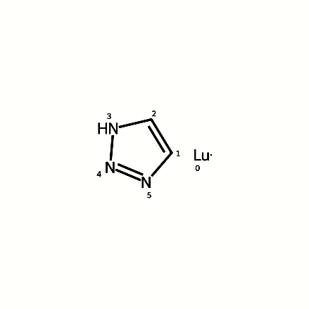 [Lu].c1c[nH]nn1